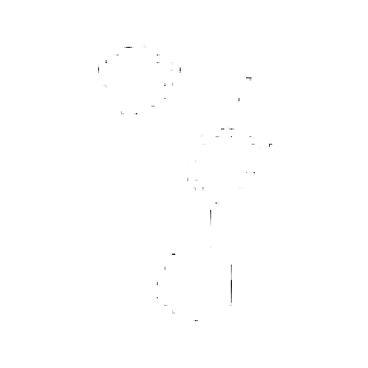 Clc1ccc(C2CCCCC2)cc1-c1ccccc1